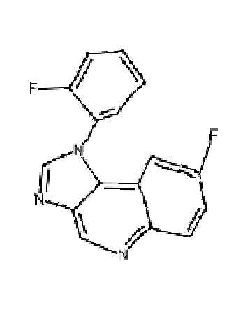 Fc1ccc2ncc3ncn(-c4ccccc4F)c3c2c1